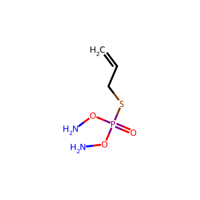 C=CCSP(=O)(ON)ON